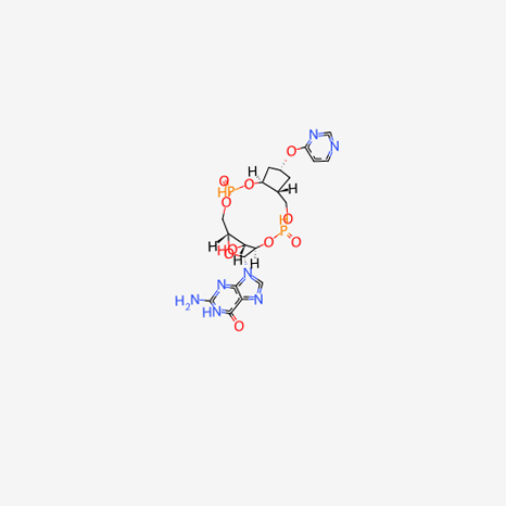 Nc1nc2c(ncn2[C@@H]2O[C@@H]3CO[PH](=O)O[C@H]4C[C@H](Oc5ccncn5)C[C@@H]4CO[PH](=O)O[C@@H]2[C@@H]3O)c(=O)[nH]1